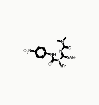 CCCN(C(=O)Nc1ccc([N+](=O)[O-])cc1)C(=NC(=O)N(C)C)SC